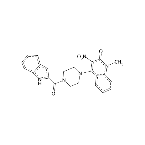 Cn1c(=O)c([N+](=O)[O-])c(N2CCN(C(=O)c3cc4ccccc4[nH]3)CC2)c2ccccc21